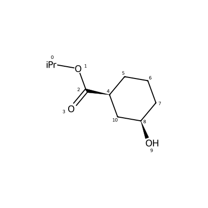 CC(C)OC(=O)[C@H]1CCC[C@@H](O)C1